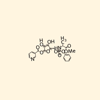 COC(=O)C(C)N[P@](=O)(OC[C@H]1O[C@@H](OC(=O)c2cccnc2)[C@H](O)[C@@H]1O)Oc1ccccc1